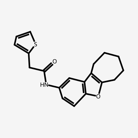 O=C(Cc1cccs1)Nc1ccc2oc3c(c2c1)CCCCC3